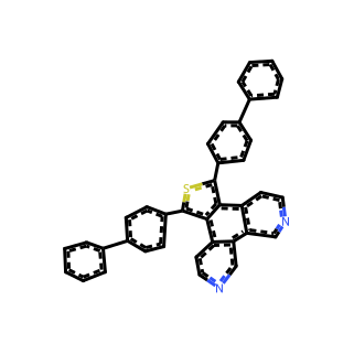 c1ccc(-c2ccc(-c3sc(-c4ccc(-c5ccccc5)cc4)c4c5ccncc5c5cnccc5c34)cc2)cc1